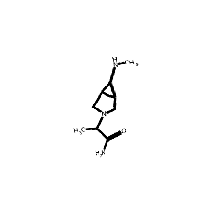 CNC1C2CN(C(C)C(N)=O)CC21